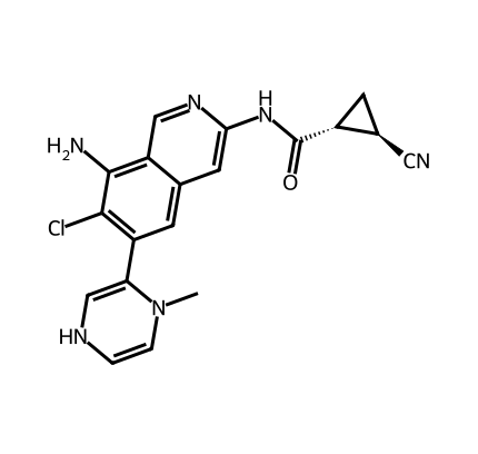 CN1C=CNC=C1c1cc2cc(NC(=O)[C@@H]3C[C@H]3C#N)ncc2c(N)c1Cl